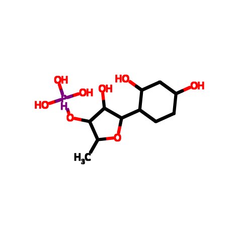 CC1OC(C2CCC(O)CC2O)C(O)C1O[PH](O)(O)O